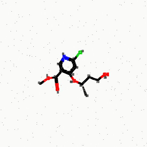 COC(=O)c1cnc(Cl)cc1O[C@@H](C)CCO